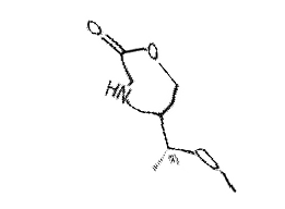 CO[C@H](C)C1COC(=O)N1